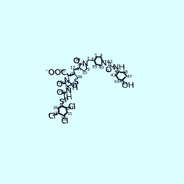 O=C(C[n+]1ccc(CN2CCC(=CC3=C(C(=O)[O-])N4C(=O)[C@@H](NC(=O)CSc5cc(Cl)c(Cl)cc5Cl)[C@H]4SC3)C2=O)cc1)Nc1ccc(O)cc1